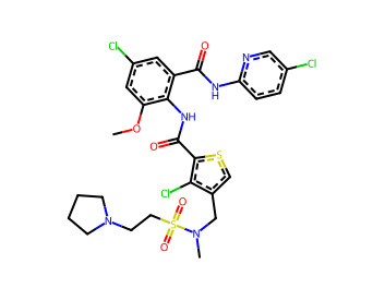 COc1cc(Cl)cc(C(=O)Nc2ccc(Cl)cn2)c1NC(=O)c1scc(CN(C)S(=O)(=O)CCN2CCCC2)c1Cl